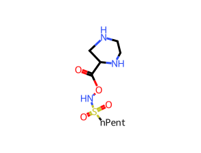 CCCCCS(=O)(=O)NOC(=O)C1CNCCN1